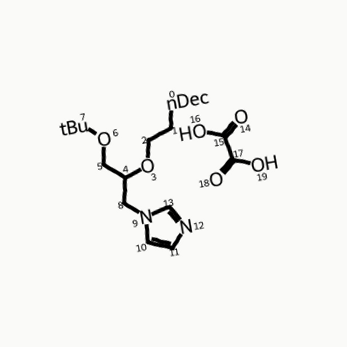 CCCCCCCCCCCCOC(COC(C)(C)C)Cn1ccnc1.O=C(O)C(=O)O